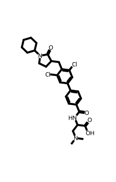 CN(C)CC(NC(=O)c1ccc(-c2cc(Cl)c(CC3CCN(C4CCCCC4)C3=O)c(Cl)c2)cc1)C(=O)O